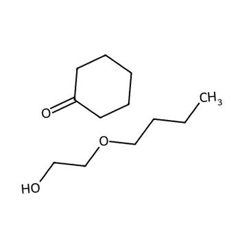 CCCCOCCO.O=C1CCCCC1